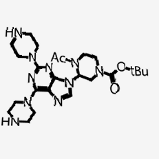 CC(=O)N1CCN(C(=O)OC(C)(C)C)CC1n1cnc2c(N3CCNCC3)nc(N3CCNCC3)nc21